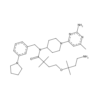 Cc1cc(N2CCC(N(Cc3cccc(N4CCCC4)c3)C(=O)C(C)(C)CCOC(C)(C)CCN)CC2)nc(N)n1